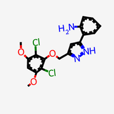 COc1cc(OC)c(Cl)c(OCc2cc(-c3ccccc3N)[nH]n2)c1Cl